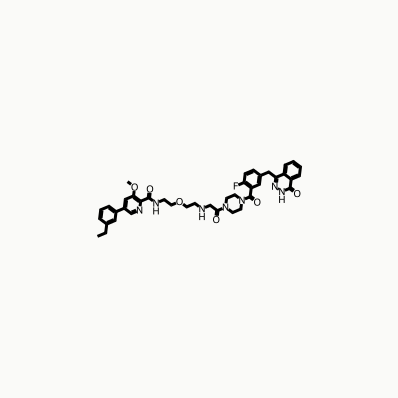 CCc1cccc(-c2cnc(C(=O)NCCOCCNCC(=O)N3CCN(C(=O)c4cc(Cc5n[nH]c(=O)c6ccccc56)ccc4F)CC3)c(OC)c2)c1